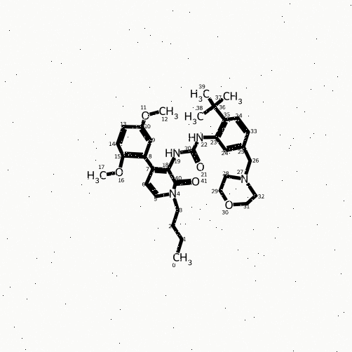 CCCCn1ccc(-c2cc(OC)ccc2OC)c(NC(=O)Nc2cc(CN3CCOCC3)ccc2C(C)(C)C)c1=O